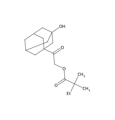 CCC(C)(C)C(=O)OCC(=O)C12CC3CC(CC(O)(C3)C1)C2